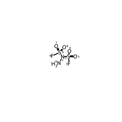 NN(S(=O)(=O)F)S(=O)(=O)F